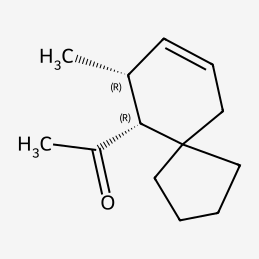 CC(=O)[C@@H]1[C@H](C)C=CCC12CCCC2